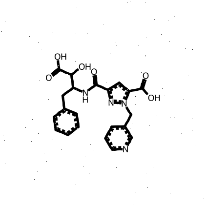 O=C(NC(Cc1ccccc1)C(O)C(=O)O)c1cc(C(=O)O)n(Cc2cccnc2)n1